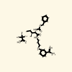 CC[C@H](C)[C@H](NC(=O)OCc1ccccc1)C(=O)NCCCOc1cccc(C(=N)N)c1.O=C(O)C(F)(F)F